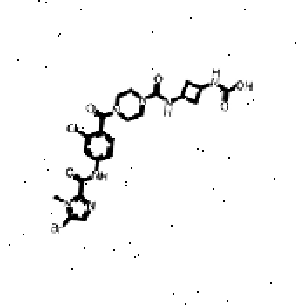 Cn1c(Br)cnc1C(=O)Nc1ccc(C(=O)N2CCN(C(=O)NC3CC(NC(=O)O)C3)CC2)c(Cl)c1